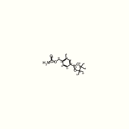 Cc1cc(B2OC(C)(C)C(C)(C)O2)ccc1COC(N)=O